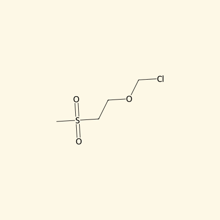 CS(=O)(=O)CCOCCl